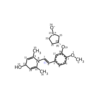 COc1ccc(/C=C/N2C(C)=CC(O)C=C2C)cc1O[C@@H]1CC[S+]([O-])C1